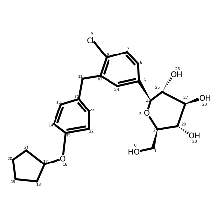 OC[C@H]1O[C@@H](c2ccc(Cl)c(Cc3ccc(OC4CCCC4)cc3)c2)[C@H](O)[C@@H](O)[C@@H]1O